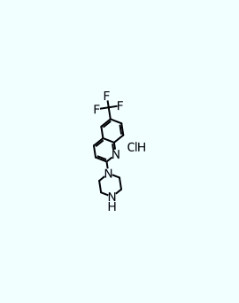 Cl.FC(F)(F)c1ccc2nc(N3CCNCC3)ccc2c1